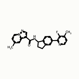 Cc1ccn2ncc(C(=O)NC3CCc4cc(-c5nccc(C)c5F)ccc43)c2c1